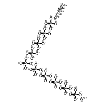 O=P([O-])([O-])[O-].O=P([O-])([O-])[O-].O=P([O-])([O-])[O-].O=P([O-])([O-])[O-].O=P([O-])([O-])[O-].O=P([O-])([O-])[O-].O=P([O-])([O-])[O-].O=P([O-])([O-])[O-].O=P([O-])([O-])[O-].O=P([O-])([O-])[O-].[W+6].[W+6].[W+6].[Zr+4].[Zr+4].[Zr+4]